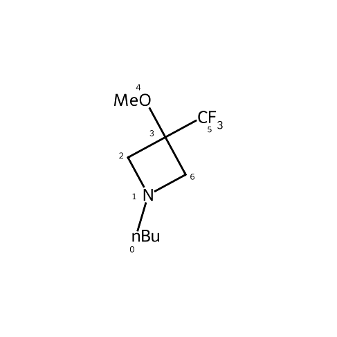 CCCCN1CC(OC)(C(F)(F)F)C1